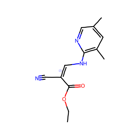 CCOC(=O)/C(C#N)=C\Nc1ncc(C)cc1C